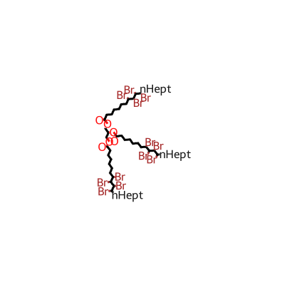 CCCCCCCC(Br)C(Br)C(Br)C(Br)CCCCCCC(=O)OCC(COC(=O)CCCCCCC(Br)C(Br)C(Br)C(Br)CCCCCCC)OC(=O)CCCCCCC(Br)C(Br)C(Br)C(Br)CCCCCCC